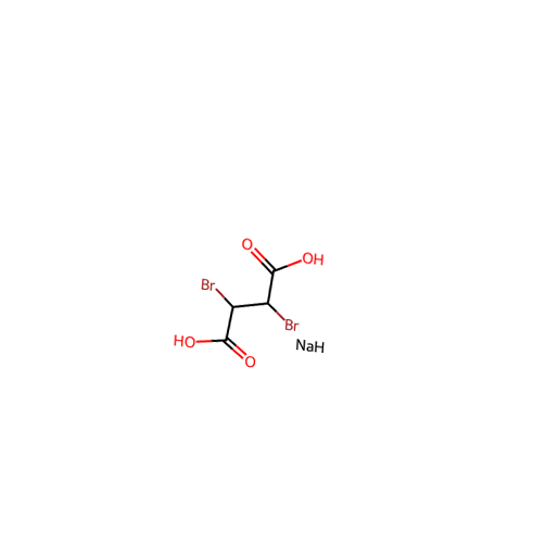 O=C(O)C(Br)C(Br)C(=O)O.[NaH]